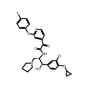 O=C(N[C@H](CN1CCCC1)[C@H](O)c1ccc(OC2CC2)c(Cl)c1)C(=O)c1ccnc(Oc2ccc(F)cc2)c1